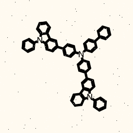 C1=Cc2c(n(-c3ccccc3)c3ccc(-c4ccc(N(c5ccc(-c6ccccc6)cc5)c5ccc(-c6ccc7c(c6)c6ccccc6n7-c6ccccc6)cc5)cc4)cc23)CC1